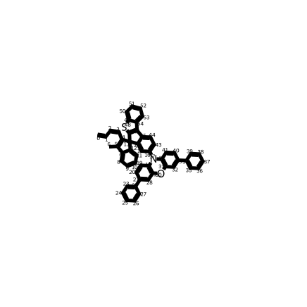 C=C/C=C\C1=C(C)c2ccccc2C12c1cc(N3c4ccc(-c5ccccc5)cc4Oc4cc(-c5ccccc5)ccc43)ccc1-c1c2sc2ccccc12